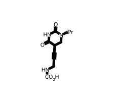 CC(C)N1CC(C#CCNC(=O)O)C(=O)NC1=O